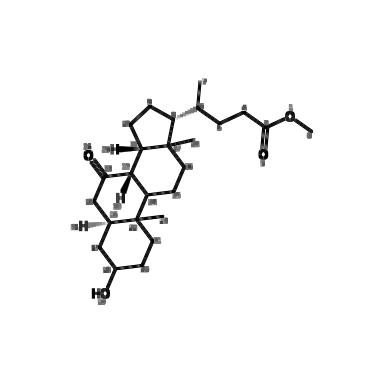 COC(=O)CCC(C)[C@H]1CC[C@H]2[C@H]3C(=O)C[C@@H]4CC(O)CCC4(C)C3CCC12C